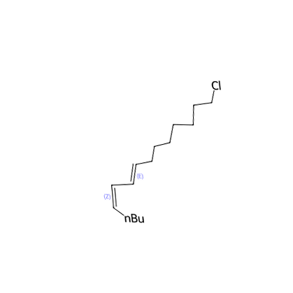 CCCC/C=C\C=C\CCCCCCCCl